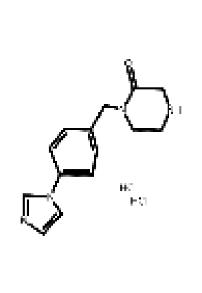 Cl.Cl.O=C1CNCCN1Cc1ccc(-n2ccnc2)cc1